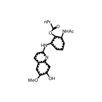 CCCC(=O)Oc1c(NC(C)=O)cccc1Nc1ccc2cc(OC)c(O)cc2n1